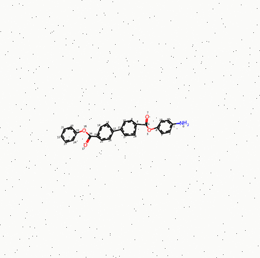 Nc1ccc(OC(=O)c2ccc(-c3ccc(C(=O)Oc4ccccc4)cc3)cc2)cc1